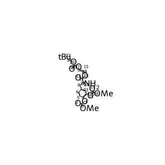 COC(=O)Oc1ccc(C[C@H](N)C(=O)O[C@@H](C)COC(=O)OCC(C)(C)C)cc1OC(=O)OC